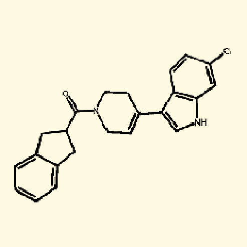 O=C(C1Cc2ccccc2C1)N1CC=C(c2c[nH]c3cc(Cl)ccc23)CC1